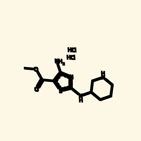 COC(=O)c1sc(NC2CCCNC2)nc1N.Cl.Cl